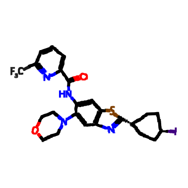 O=C(Nc1cc2sc([C@H]3CC[C@H](I)CC3)nc2cc1N1CCOCC1)c1cccc(C(F)(F)F)n1